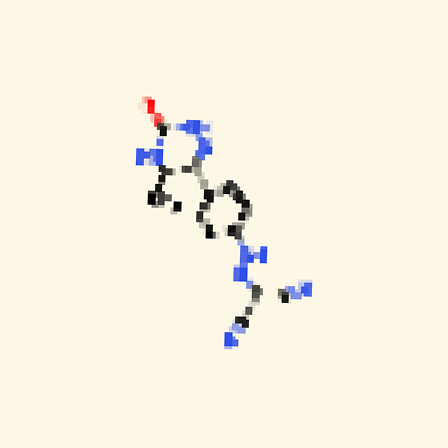 CC1NC(=O)NN=C1c1ccc(NN=C(C#N)C#N)cc1